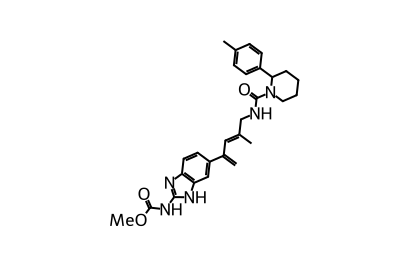 C=C(/C=C(\C)CNC(=O)N1CCCCC1c1ccc(C)cc1)c1ccc2nc(NC(=O)OC)[nH]c2c1